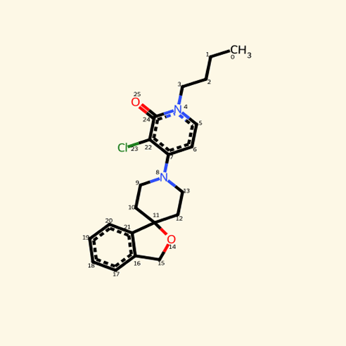 CCCCn1ccc(N2CCC3(CC2)OCc2ccccc23)c(Cl)c1=O